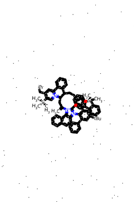 C=C1CC2C(CCc3cc4c(cc3-c3n(-c5c(-c6ccccc6)cc(C(C)(C)C)cc5-c5ccccc5)c5ccc6ccccc6c5[n+]31)-c1ccccc1[Si]4(C)C)c1ccccc1-c1cc(CC(C)C)c([Si](C)(C)C)c[n+]12